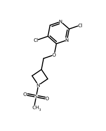 CS(=O)(=O)N1CC(COc2nc(Cl)ncc2Cl)C1